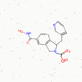 O=C(NO)c1ccc2c(c1)CN(C(=O)O)C2Cc1cccnc1